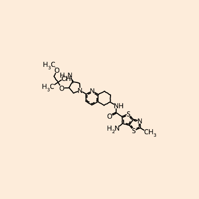 COCC(C)(C)OC1CN(c2ccc3c(n2)CCC(NC(=O)c2sc4nc(C)sc4c2N)C3)CC1N